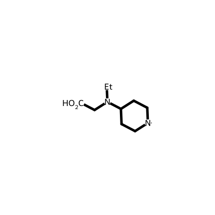 CCN(CC(=O)O)C1CC[N]CC1